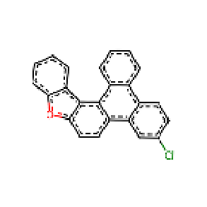 Clc1ccc2c3ccccc3c3c(ccc4oc5ccccc5c43)c2c1